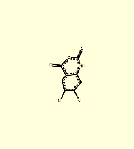 O=c1[nH]c2cc(Cl)c(Cl)cc2c(=O)o1